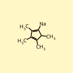 CC1=C(C)C(C)[C]([Na])=C1C